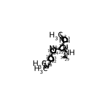 Cc1cccc(-c2cc(-c3cncc(-c4ccc(CN(C)C)cc4)c3)cc(NC3CC3)n2)n1